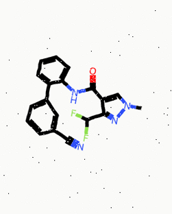 Cn1cc(C(=O)Nc2ccccc2-c2cccc(C#N)c2)c(C(F)F)n1